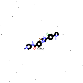 COc1cc2c(cc1C(=O)NC1CCN(C)CC1)sc1nc(-c3ccc(C4CCCN4)cc3F)cn12